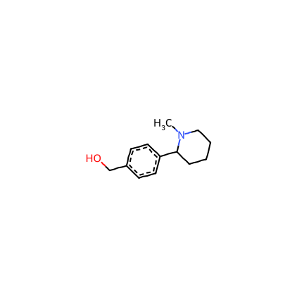 CN1CCCCC1c1ccc(CO)cc1